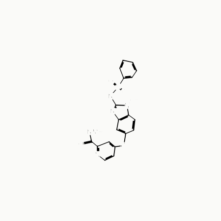 CNC(=O)c1cc(Oc2ccc3c(c2)nc(NS(=O)(=O)c2ccccc2)n3C)ccn1